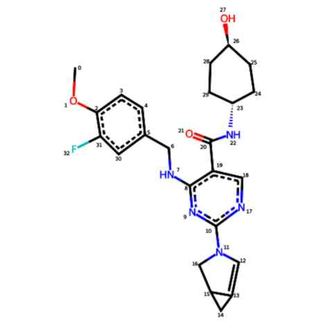 COc1ccc(CNc2nc(N3C=C4CC4C3)ncc2C(=O)N[C@H]2CC[C@H](O)CC2)cc1F